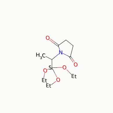 CCO[Si](OCC)(OCC)C(C)N1C(=O)CCC1=O